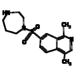 Cc1cnc(C)c2cc(S(=O)(=O)N3CCCNCC3)ccc12